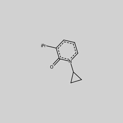 CC(C)c1cccn(C2CC2)c1=O